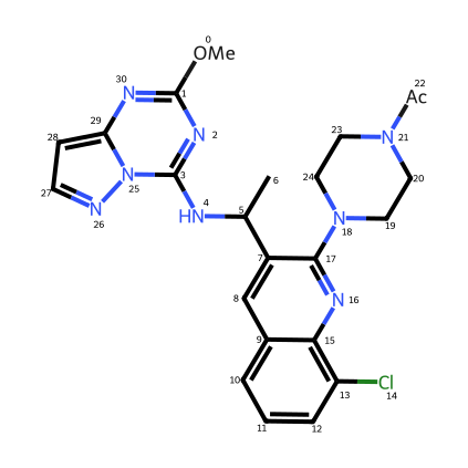 COc1nc(NC(C)c2cc3cccc(Cl)c3nc2N2CCN(C(C)=O)CC2)n2nccc2n1